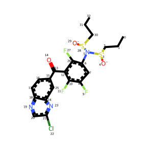 CCC[S+]([O-])N(c1cc(F)c(F)c(C(=O)c2ccc3ncc(Cl)nc3c2)c1F)[S+]([O-])CCC